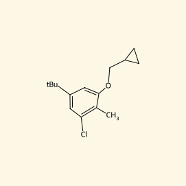 Cc1c(Cl)cc(C(C)(C)C)cc1OCC1CC1